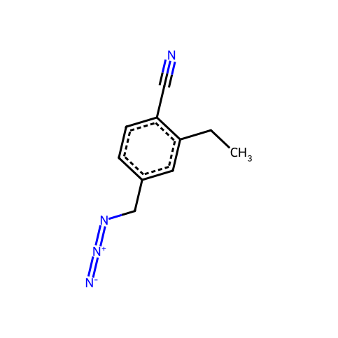 CCc1cc(CN=[N+]=[N-])ccc1C#N